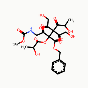 CC(O)C(=O)OC(C(=O)CNC(=O)OC(C)(C)C)(C(=O)OCc1ccccc1)C(C(=O)CO)(C(=O)CO)C(=O)C(C)O